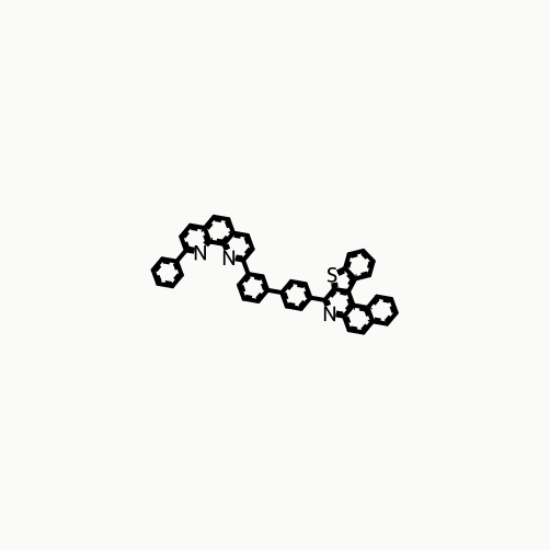 c1ccc(-c2ccc3ccc4ccc(-c5cccc(-c6ccc(-c7nc8ccc9ccccc9c8c8c7sc7ccccc78)cc6)c5)nc4c3n2)cc1